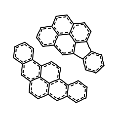 c1ccc2c(c1)-c1ccc3ccc4cccc5cc-2c1c3c45.c1ccc2c(c1)cc1ccc3cc4ccccc4c4ccc2c1c34